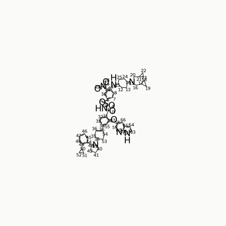 O=C(NS(=O)(=O)c1ccc(NC2CCC(N(CC3CC3)CC3CC3)CC2)c([N+](=O)[O-])c1)c1ccc(C2=CCC(N3CCCC3c3ccccc3C3CC3)CC2)cc1Oc1cnc2[nH]ccc2c1